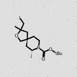 C[C@@H]1C[C@@]2(CCN1C(=O)OC(C)(C)C)COC(C)(CI)C2